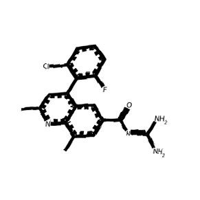 Cc1cc(-c2c(F)cccc2Cl)c2cc(C(=O)N=C(N)N)cc(C)c2n1